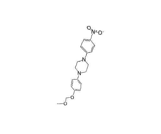 COCOc1ccc(N2CCN(c3ccc([N+](=O)[O-])cc3)CC2)cc1